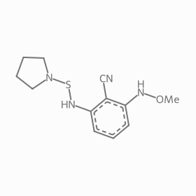 CONc1cccc(NSN2CCCC2)c1C#N